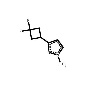 Cn1ccc(C2CC(F)(F)C2)n1